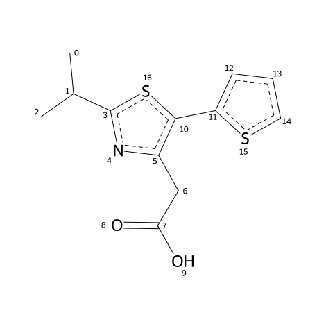 CC(C)c1nc(CC(=O)O)c(-c2cccs2)s1